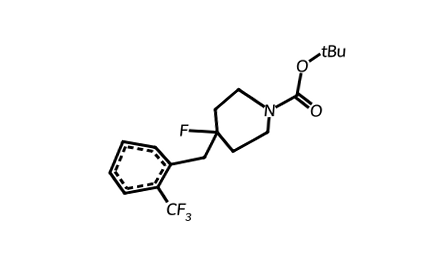 CC(C)(C)OC(=O)N1CCC(F)(Cc2ccccc2C(F)(F)F)CC1